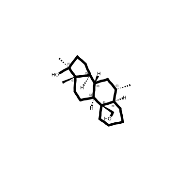 C[C@H]1C[C@@H]2[C@H](CC[C@@]3(C)[C@H]2CC[C@]3(C)O)[C@@]2(CO)CCCC[C@H]12